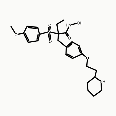 CCC(Cc1ccc(OCCC2CCCCN2)cc1)(C(=O)NO)S(=O)(=O)c1ccc(OC)cc1